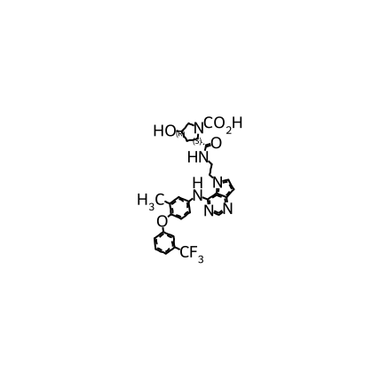 Cc1cc(Nc2ncnc3ccn(CCNC(=O)[C@@H]4C[C@@H](O)CN4C(=O)O)c23)ccc1Oc1cccc(C(F)(F)F)c1